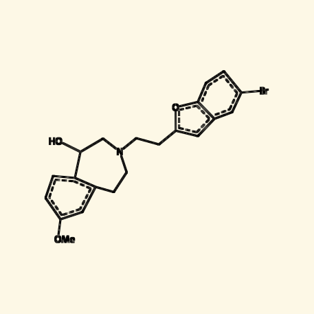 COc1ccc2c(c1)CCN(CCc1cc3cc(Br)ccc3o1)CC2O